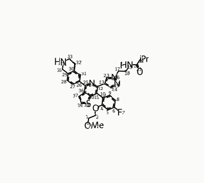 COCCOc1cc(F)ccc1-c1c(-c2cnn(CCNC(=O)C(C)C)c2)nc(-c2ccc3c(c2)CCNC3)c2ccsc12